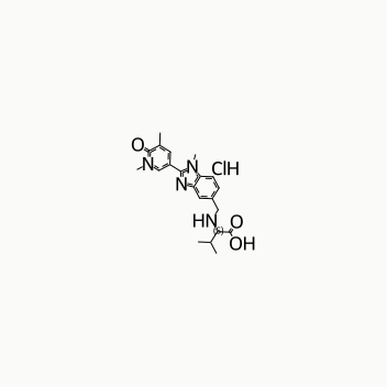 Cc1cc(-c2nc3cc(CN[C@H](C(=O)O)C(C)C)ccc3n2C)cn(C)c1=O.Cl